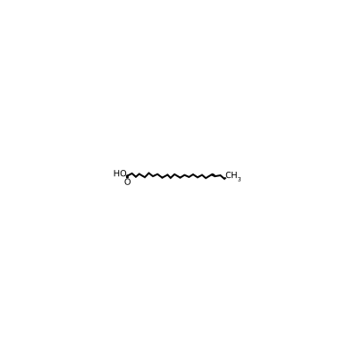 CCCC=CCCCCCCCCCCCCCCCCCCC(=O)O